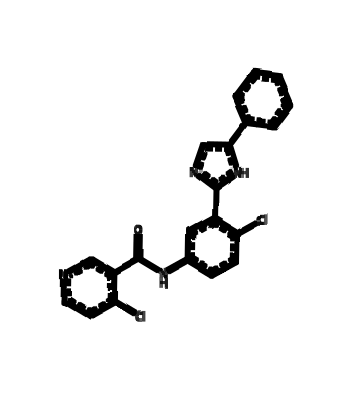 O=C(Nc1ccc(Cl)c(-c2ncc(-c3ccccc3)[nH]2)c1)c1cnccc1Cl